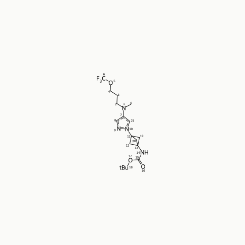 CN(CCCOC(F)(F)F)c1cnn(C23CC(NC(=O)OC(C)(C)C)(C2)C3)c1